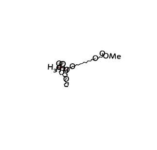 COC(=O)CCCOCCCCCCCCCCCOCCO[C@H]1C[C@@]2(C)[C@@H](CCC23OCCO3)[C@@H]2CCc3cc(OCc4ccccc4)ccc3[C@H]21